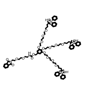 CC(C)(CCCOCCOCCOCCOc1cc(COC(=O)NCCOCCOCCN2C(=O)c3ccccc3C2=O)cc(OCCOCCOCCOCCCC(C)(C)[Si](O)(c2ccccc2)c2ccccc2)c1OCCOCCOCCOCCCC(C)(C)[Si](O)(c1ccccc1)c1ccccc1)[Si](O)(c1ccccc1)c1ccccc1